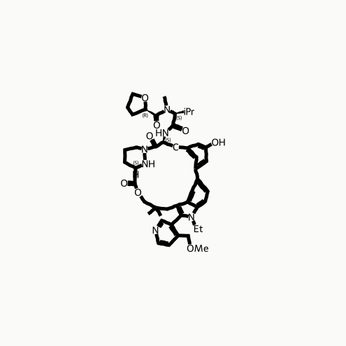 CCn1c(-c2cnccc2COC)c2c3cc(ccc31)-c1cc(O)cc(c1)C[C@H](NC(=O)[C@H](C(C)C)N(C)C(=O)[C@H]1CCCO1)C(=O)N1CCC[C@H](N1)C(=O)OCC(C)(C)C2